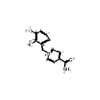 NC(=O)c1cc[n+](Cc2cccc(O)c2O)cc1